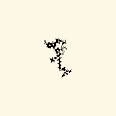 CCOP(=O)(OCC)[C@H]1C[C@H]1/C=C\CCCCC[C@H](NC(=O)OC(C)(C)C)C(=O)N1C[C@H](Oc2cc(-c3csc(NC(C)C)n3)nc3cc(OC)ccc23)C[C@H]1C(N)=O